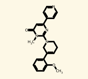 COc1ccccc1C1=CCCN(c2nc(-c3ccncc3)cc(=O)n2C)C1